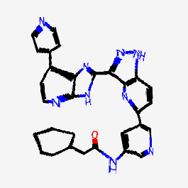 O=C(CC1CCCCC1)Nc1cncc(-c2ccc3[nH]nc(-c4nc5c(-c6ccncc6)ccnc5[nH]4)c3n2)c1